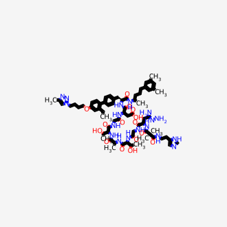 CCc1cc(OCCCCn2cc(C)nn2)ccc1-c1ccc(C[C@H](NC(=O)C(CC(=O)O)NC(=O)CNC(=O)C(NC(=O)C(C)NC(=O)C(NC(=O)CNC(=O)C(C/C(N)=N/N)NC(=O)C(C)(C)C(=O)NCCc2cnc[nH]2)C(C)O)C(C)O)C(=O)NC(C)CCCc2cc(C)cc(C)c2)cc1